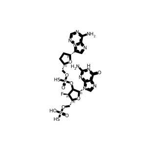 Nc1nc2c(ncn2[C@@H]2O[C@H](COP(=O)(O)S)[C@@H](F)C2OP(=O)(S)OC[C@@H]2CC[C@H](c3cnc4c(N)ncnn34)O2)c(=O)[nH]1